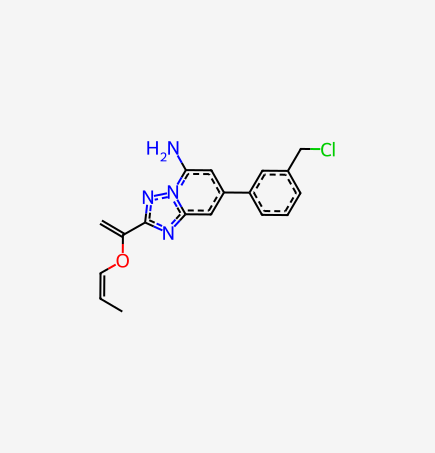 C=C(O/C=C\C)c1nc2cc(-c3cccc(CCl)c3)cc(N)n2n1